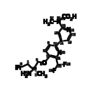 CC(C)C[C@](C)(N)COc1ccc(-c2ccnc(N(C)C(=O)O)c2)nc1C(F)F